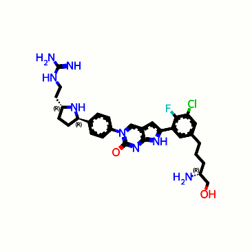 N=C(N)NCC[C@H]1CC[C@H](c2ccc(-n3cc4cc(-c5cc(CCC[C@@H](N)CO)cc(Cl)c5F)[nH]c4nc3=O)cc2)N1